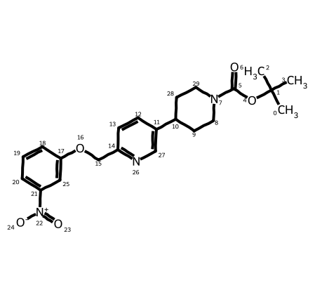 CC(C)(C)OC(=O)N1CCC(c2ccc(COc3cccc([N+](=O)[O-])c3)nc2)CC1